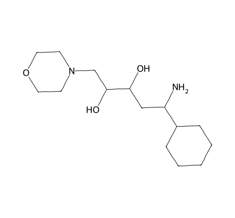 NC(CC(O)C(O)CN1CCOCC1)C1CCCCC1